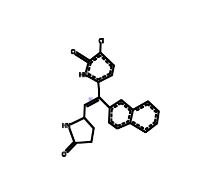 O=C1CCC(/C=C(\c2ccc3ccccc3c2)c2ccc(Cl)c(=O)[nH]2)N1